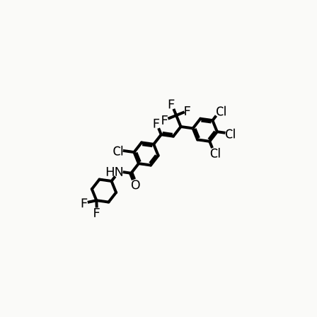 O=C(NC1CCC(F)(F)CC1)c1ccc(C(F)=CC(c2cc(Cl)c(Cl)c(Cl)c2)C(F)(F)F)cc1Cl